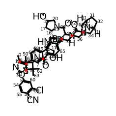 Cc1ncsc1-c1ccc([C@H](CO)NC(=O)[C@@H]2C[C@@H](O)CN2C(=O)[C@@H](NC(=O)CN2[C@@H]3CC[C@@H]2CN(CCCCc2ccc(C(=O)N[C@H]4C(C)(C)[C@H](Oc5ccc(C#N)c(Cl)c5)C4(C)C)cc2)C3)C(C)(C)C)cc1